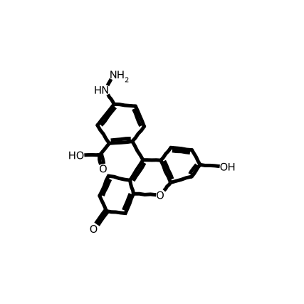 NNc1ccc(-c2c3ccc(=O)cc-3oc3cc(O)ccc23)c(C(=O)O)c1